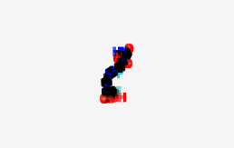 CS(=O)(=O)c1ccc(N2CCC(CN3CCN(c4cc5c(cc4F)C(=O)N(C4CCC(=O)NC4=O)C5=O)CC3)CC2)c2c1[C@H](O)[C@H](F)C2